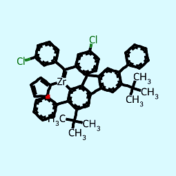 CC(C)(C)c1cc2c(cc1-c1ccccc1)Cc1c-2cc(C(C)(C)C)c(-c2ccccc2)[c]1[Zr]([C]1=CC=CC1)=[C](c1cccc(Cl)c1)c1cccc(Cl)c1